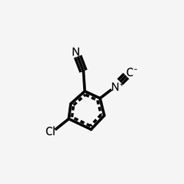 [C-]#[N+]c1ccc(Cl)cc1C#N